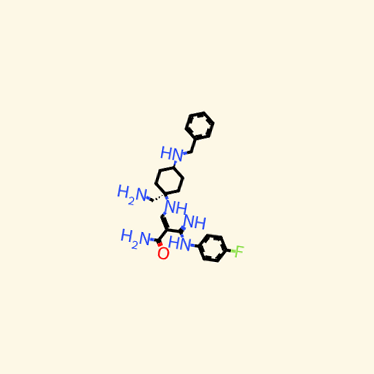 N=C(Nc1ccc(F)cc1)/C(=C\N[C@]1(CN)CC[C@H](NCc2ccccc2)CC1)C(N)=O